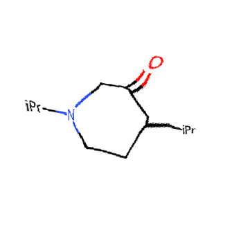 CC(C)C1CCN(C(C)C)CC1=O